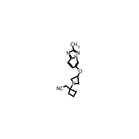 Cc1nc2ccc(OC3CN(C4(CC#N)CCC4)C3)cn2n1